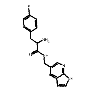 NC(Cc1ccc(F)cc1)C(=O)NCc1cnc2[nH]ccc2c1